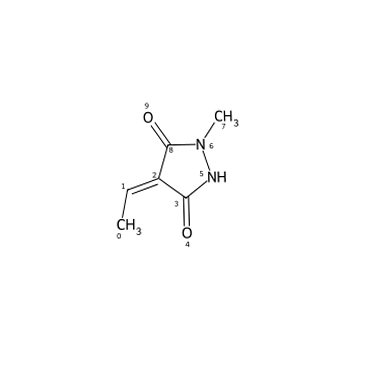 C/C=C1\C(=O)NN(C)C1=O